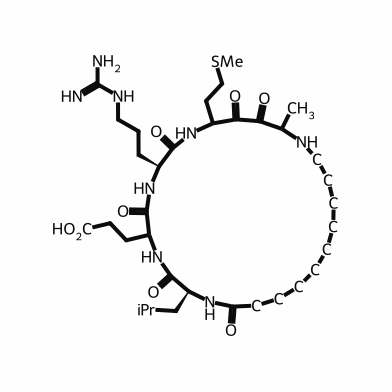 CSCCC1NC(=O)[C@H](CCCNC(=N)N)NC(=O)C(CCC(=O)O)NC(=O)[C@H](CC(C)C)NC(=O)CCCCCCCCCNC(C)C(=O)C1=O